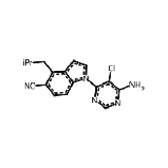 CC(C)Cc1c(C#N)ccc2c1ccn2-c1ncnc(N)c1Cl